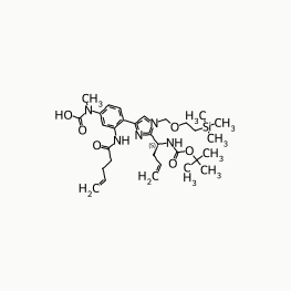 C=CCCC(=O)Nc1cc(N(C)C(=O)O)ccc1-c1cn(COCC[Si](C)(C)C)c([C@H](CC=C)NC(=O)OC(C)(C)C)n1